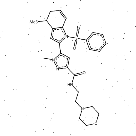 CSC1CC=Cc2c1cc(-c1cc(C(=O)NCCN3CCOCC3)nn1C)n2S(=O)(=O)c1ccccc1